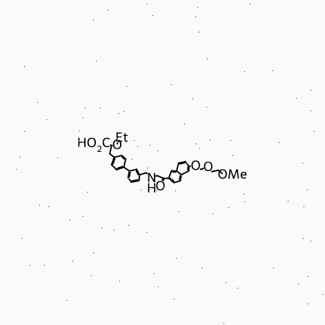 CCOC(Cc1ccc(-c2cccc(CNCC(=O)c3ccc4cc(OCOCCOC)ccc4c3)c2)cc1)C(=O)O